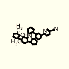 CC1CC=CC2=C1O[C@H]1C3C(C=C[C@]21C)C1C=CCCC1N3C1=C(c2cccc(-c3ccc(C#N)cn3)c2)C=CCC1